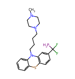 CN1CCN(CCCCN2c3ccccc3Sc3ccc(C(F)(F)P)cc32)CC1